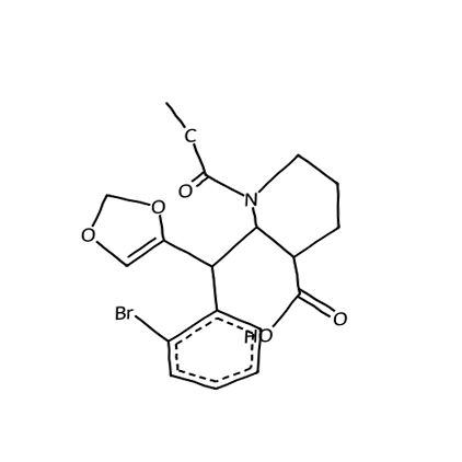 CCC(=O)N1CCCC(C(=O)O)C1C(C1=COCO1)c1ccccc1Br